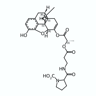 C[C@H](OC(=O)CCNC(=O)C1CCCN1C(=O)O)C(=O)OC1=CC[C@@]2(O)[C@H]3Cc4ccc(O)c5c4[C@@]2(CCN3C)[C@H]1O5